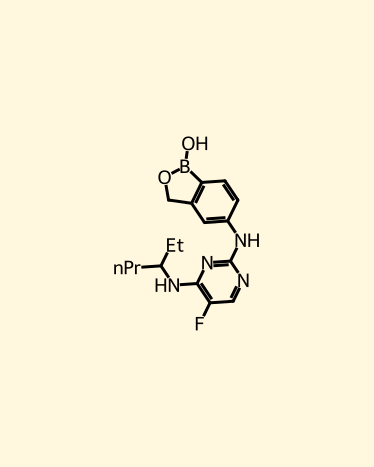 CCCC(CC)Nc1nc(Nc2ccc3c(c2)COB3O)ncc1F